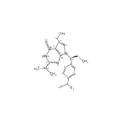 CC[C@@H](c1ccc(C(F)F)cc1)n1nc(CO)c2c(=O)[nH]c(N(C)C)nc21